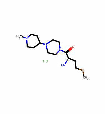 CSCC[C@@H](N)C(=O)N1CCN(C2CCN(C)CC2)CC1.Cl